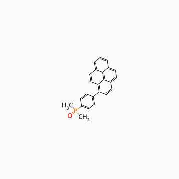 CP(C)(=O)c1ccc(-c2ccc3ccc4cccc5ccc2c3c45)cc1